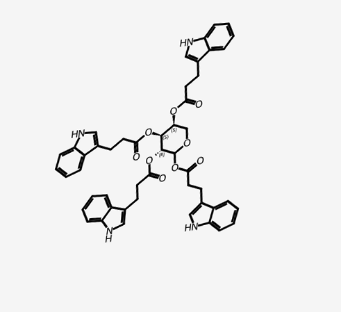 O=C(CCc1c[nH]c2ccccc12)OC1OC[C@H](OC(=O)CCc2c[nH]c3ccccc23)[C@H](OC(=O)CCc2c[nH]c3ccccc23)[C@H]1OC(=O)CCc1c[nH]c2ccccc12